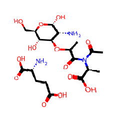 CC(=O)N(C(=O)C(C)O[C@@H]1[C@@H](N)[C@@H](O)O[C@H](CO)[C@H]1O)[C@@H](C)C(=O)O.N[C@H](CCC(=O)O)C(=O)O